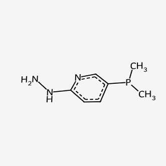 CP(C)c1ccc(NN)nc1